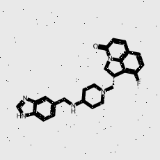 O=c1ccc2ccc(F)c3c2n1C[C@H]3CN1CCC(NCc2ccc3[nH]cnc3c2)CC1